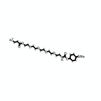 CSC1CCC(OC(=O)NCCOCCOCCOCCOCCOC(=O)CCC(C)=O)CC1